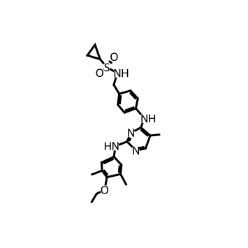 CCOc1c(C)cc(Nc2ncc(C)c(Nc3ccc(CNS(=O)(=O)C4CC4)cc3)n2)cc1C